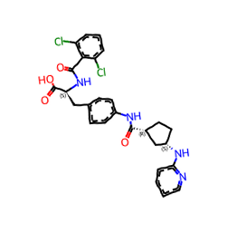 O=C(N[C@@H](Cc1ccc(NC(=O)[C@@H]2CC[C@H](Nc3ccccn3)C2)cc1)C(=O)O)c1c(Cl)cccc1Cl